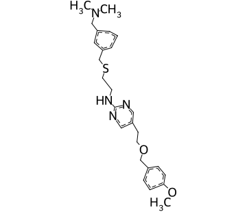 COc1ccc(COCCc2cnc(NCCSCc3cccc(CN(C)C)c3)nc2)cc1